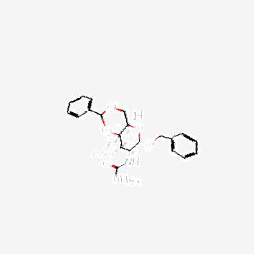 CCCCCCC(=O)N[C@H]1[C@@H](OCc2ccccc2)O[C@@H]2COC(c3ccccc3)O[C@H]2[C@@H]1O